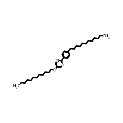 CCCCCCCCCCCCOc1cnc(-c2ccc(CCCCCCCCCCCC)cc2)nc1